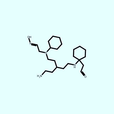 NCCC(CCNC1(CC=O)CCCCC1)CCN(CC=NO)C1CCCCC1